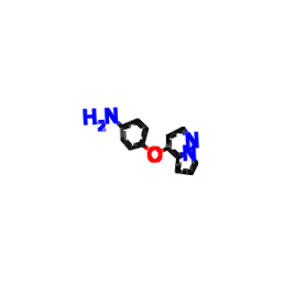 Nc1ccc(Oc2ccnn3cccc23)cc1